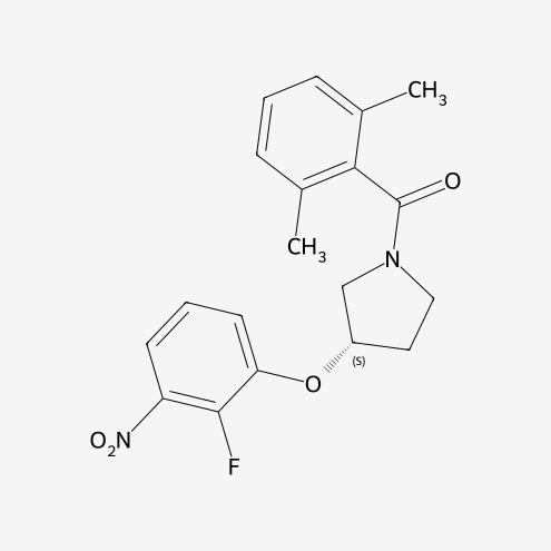 Cc1cccc(C)c1C(=O)N1CC[C@H](Oc2cccc([N+](=O)[O-])c2F)C1